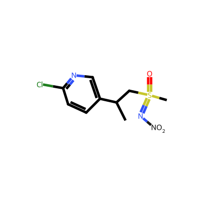 CC(CS(C)(=O)=N[N+](=O)[O-])c1ccc(Cl)nc1